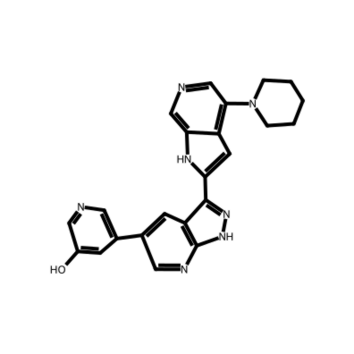 Oc1cncc(-c2cnc3[nH]nc(-c4cc5c(N6CCCCC6)cncc5[nH]4)c3c2)c1